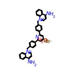 Nc1cc[n+](Cc2ccc(-c3cccc(-c4ccc(C[n+]5ccc(N)c6ccccc65)cc4)n3)cc2)c2ccccc12.O.[Br-].[Br-]